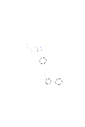 COCCN1CCC(C(=O)NO)(S(=O)(=O)c2ccc(OCCCc3cccc(-c4ccc(F)c(F)c4)c3)cc2)CC1